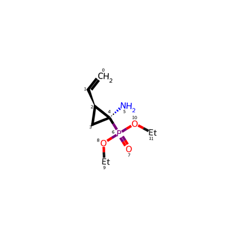 C=C[C@@H]1C[C@]1(N)P(=O)(OCC)OCC